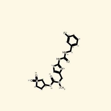 CN(Cc1csc(NC(=O)NCc2cccc(F)c2)n1)C(=O)OC1CCS(=O)(=O)C1